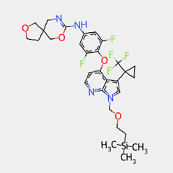 C[Si](C)(C)CCOCn1cc(C2(C(F)(F)F)CC2)c2c(Oc3c(F)cc(NC4=NCC5(CCOC5)CO4)cc3F)ccnc21